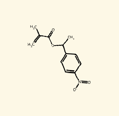 C=C(C)C(=O)OC(C)c1ccc([N+](=O)[O-])cc1